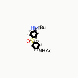 CC(=O)Nc1ccc([S+]([O-])c2ccc(NC(C)(C)C)cc2)cc1